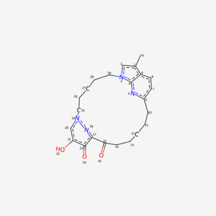 Cc1cn2c3nc(ccc13)CCCCCC(=O)c1nn(cc(O)c1=O)CCCCC2